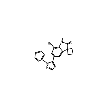 O=C1Nc2c(Br)cc(-c3ncnn3-c3ccccc3)cc2C12CCC2